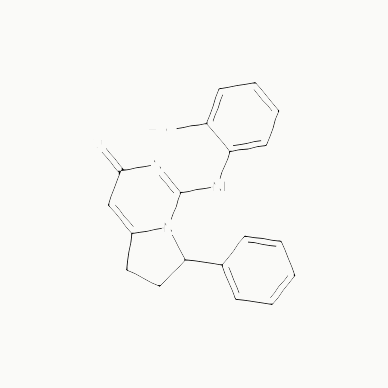 Cc1ccccc1Nc1nc(=O)cc2n1C(c1ccccc1)CC2